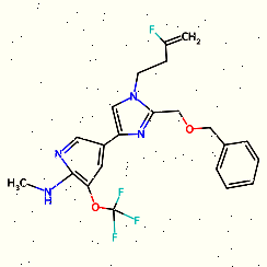 C=C(F)CCn1cc(-c2cnc(NC)c(OC(F)(F)F)c2)nc1COCc1ccccc1